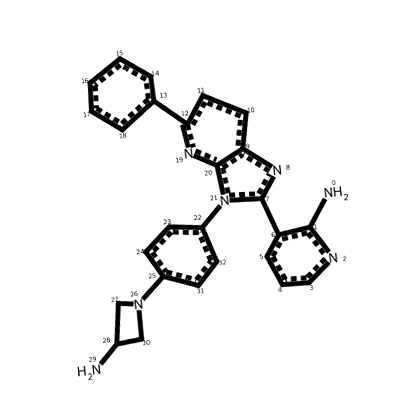 Nc1ncccc1-c1nc2ccc(-c3ccccc3)nc2n1-c1ccc(N2CC(N)C2)cc1